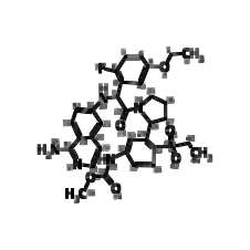 CCOc1ccc(F)c(C(Nc2ccc3c(N)nccc3c2)C(=O)N2CCCC2c2cc(NC(=O)OC)ccc2S(=O)(=O)CC)c1